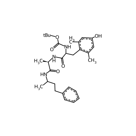 Cc1cc(O)cc(C)c1CC(NC(=O)OC(C)(C)C)C(=O)N[C@H](C)C(=O)NC(C)CCc1ccccc1